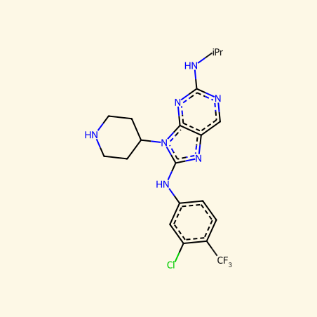 CC(C)Nc1ncc2nc(Nc3ccc(C(F)(F)F)c(Cl)c3)n(C3CCNCC3)c2n1